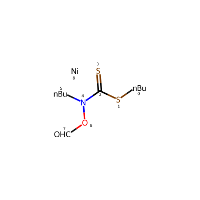 CCCCSC(=S)N(CCCC)OC=O.[Ni]